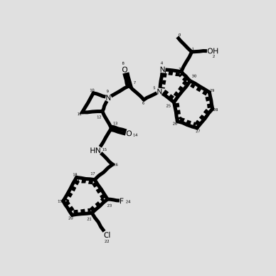 CC(O)c1nn(CC(=O)N2CCC2C(=O)NCc2cccc(Cl)c2F)c2ccccc12